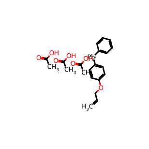 C=CCOc1cc[c]([Pb][c]2ccccc2)cc1.CC(=O)O.CC(=O)O.CC(=O)O